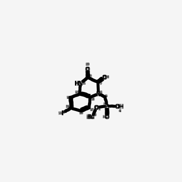 CCC(C)OP(=O)(O)Cn1c(=O)c(=O)[nH]c2cc(F)ccc21